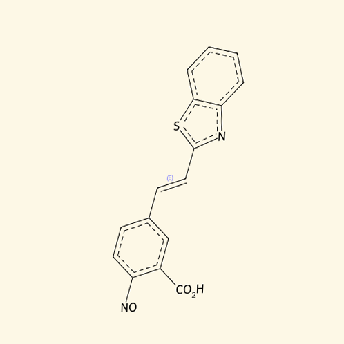 O=Nc1ccc(/C=C/c2nc3ccccc3s2)cc1C(=O)O